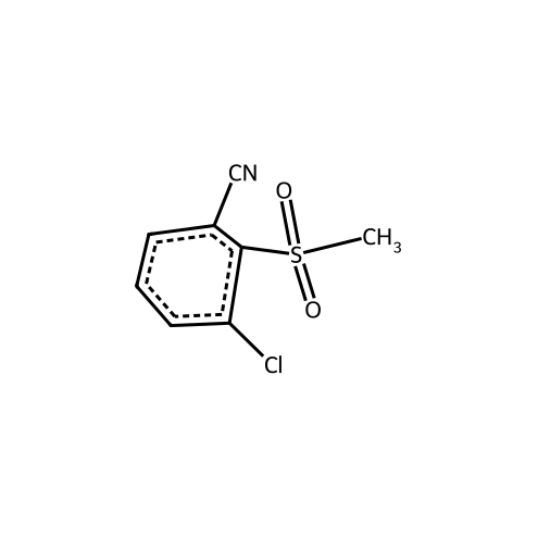 CS(=O)(=O)c1c(Cl)cccc1C#N